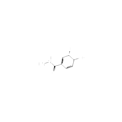 NNC(=O)C1=C[C@@H](I)C(O)C=C1